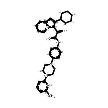 Cc1cccc(N2CCN(c3ccc(NC(=O)C(=O)c4c(C5CCCCC5)cc5ccccn45)cc3)CC2)n1